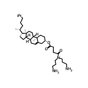 CC(C)CCC[C@@H](C)[C@H]1CC[C@H]2[C@@H]3CC=C4C[C@@H](OC(=O)CCC(=O)N(CCCN)CCCN)CC[C@]4(C)[C@H]3CC[C@]12C